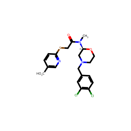 CN(C(=O)CSc1ccc(C(=O)O)cn1)[C@@H]1CN(Cc2ccc(Cl)c(Cl)c2)CCO1